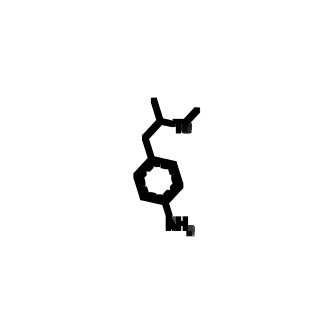 C[Te]C(C)Cc1ccc(N)cc1